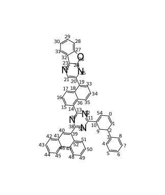 C1=CC(c2ccccc2)CC(c2nc(-c3cccc4c(-c5cnc6c(n5)oc5ccccc56)cccc34)nc(-c3cc4ccccc4c4ccccc34)n2)=C1